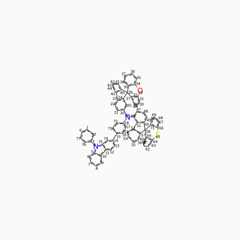 c1ccc(-n2c3ccccc3c3ccc(-c4ccc(N(c5ccc6c(c5)C5(c7ccccc7Oc7ccccc75)c5ccccc5-6)c5cccc6c5-c5ccccc5C65c6ccccc6Sc6ccccc65)cc4)cc32)cc1